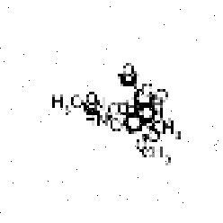 CC[C@@]12CC[C@H]3C(=O)O[C@H](c4ccoc4)C[C@]3(C)[C@H]1C(=O)[C@@H](OC(=O)Nc1cc(C)on1)C[C@H]2C(=O)OC